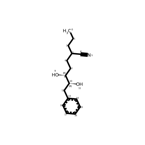 CCCC(C#N)CC[C@@H](O)[C@H](O)Cc1ccccc1